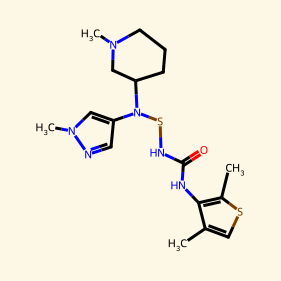 Cc1csc(C)c1NC(=O)NSN(c1cnn(C)c1)C1CCCN(C)C1